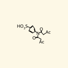 CC(=O)CC(=O)N(C(=O)CC(C)=O)c1ccc(S(=O)(=O)O)cc1